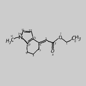 CCOC(=O)/C=C1\CCCc2c1ccn2C